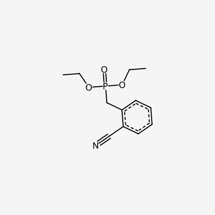 CCOP(=O)(Cc1ccccc1C#N)OCC